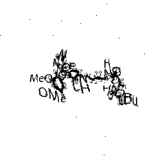 COc1ccc(CN(c2ncns2)S(=O)(=O)c2cc(Cl)c(NCCCCNC(=O)OCC(C)NC(=O)OC(C)(C)C)cc2F)c(OC)c1